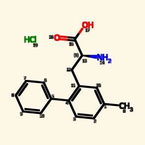 Cc1ccc(-c2ccccc2)c(C[C@H](N)C(=O)O)c1.Cl